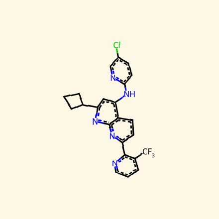 FC(F)(F)c1cccnc1-c1ccc2c(Nc3ccc(Cl)cn3)cc(C3CCC3)nc2n1